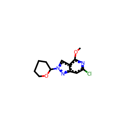 COc1nc(Cl)cc2nn(C3CCCCO3)cc12